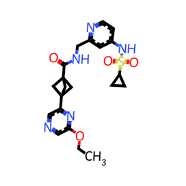 CCOc1cncc(C23CC(C(=O)NCc4cc(NS(=O)(=O)C5CC5)ccn4)(C2)C3)n1